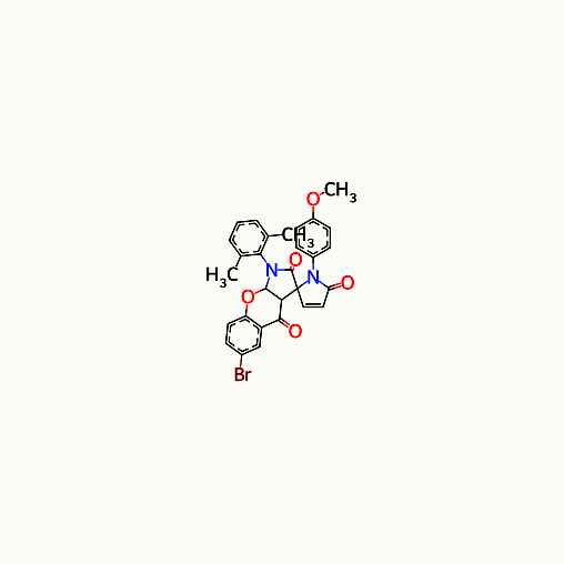 COc1ccc(N2C(=O)C=CC23C(=O)N(c2c(C)cccc2C)C2Oc4ccc(Br)cc4C(=O)C23)cc1